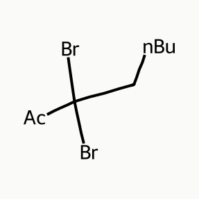 CCCCCC(Br)(Br)C(C)=O